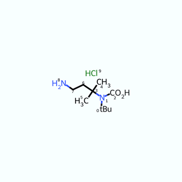 CC(C)(C)N(C(=O)O)C(C)(C)CCN.Cl